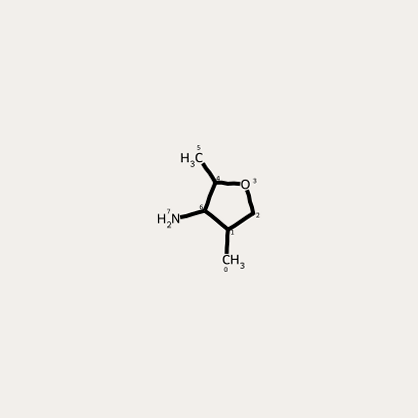 CC1COC(C)C1N